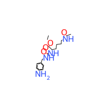 CCOC(=O)C(CCCCNC(C)=O)NC(=O)NCc1ccc(N)cc1